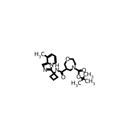 Cc1cccn2c(C3(NC(=O)C4COCCN(C(=O)OC(C)(C)C)C4)CCC3)ncc12